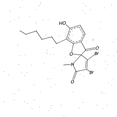 CCCCCCc1c(O)ccc2c1OC1(C2=O)C(Br)=C(Br)C(=O)N1C